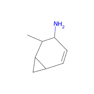 CC1C(N)C=CC2CC21